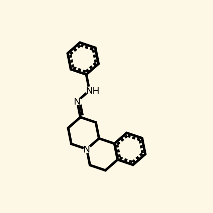 c1ccc(NN=C2CCN3CCc4ccccc4C3C2)cc1